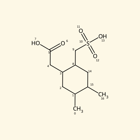 CC1CC(CC(=O)O)C(CS(=O)(=O)O)CC1C